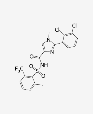 Cc1cccc(C(F)(F)F)c1S(=O)(=O)NC(=O)c1cn(C)c(-c2cccc(Cl)c2Cl)n1